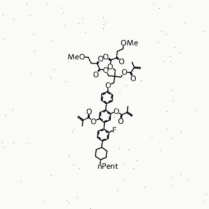 C=C(C)C(=O)OCC(COC(=O)C(=O)CCOC)(COC(=O)C(=O)CCOC)COc1ccc(-c2cc(OC(=O)C(=C)C)c(-c3ccc(C4CCC(CCCCC)CC4)cc3F)cc2OC(=O)C(=C)C)cc1